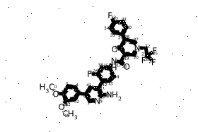 COc1ccc(-c2cnc(N)c(-c3ccc(NC(=O)c4cn(CC(F)(F)F)cc(-c5ccc(F)cc5)c4=O)cc3F)c2)cc1OC